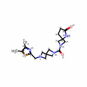 Cc1sc(CN2CC3(C2)CN(C(=O)N2CC4(CCC(=O)N4)C2)C3)nc1C(F)(F)F